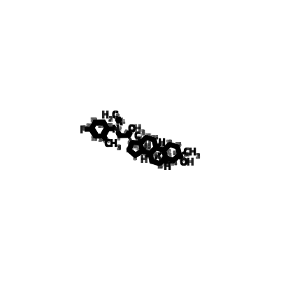 C=NN(CC(=O)[C@H]1CC[C@H]2[C@@H]3CC[C@@H]4C[C@](C)(O)CC[C@]4(COC)[C@H]3CC[C@]12C)c1ccc(F)cc1C